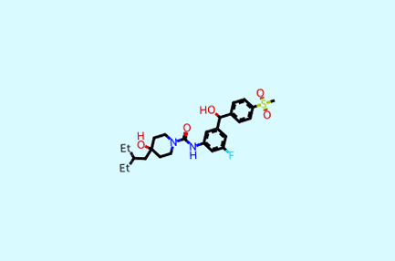 CCC(CC)CC1(O)CCN(C(=O)Nc2cc(F)cc(C(O)c3ccc(S(C)(=O)=O)cc3)c2)CC1